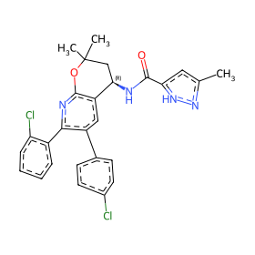 Cc1cc(C(=O)N[C@@H]2CC(C)(C)Oc3nc(-c4ccccc4Cl)c(-c4ccc(Cl)cc4)cc32)[nH]n1